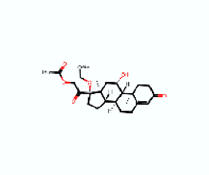 COCO[C@]1(C(=O)COC(=O)C(C)(C)C)CC[C@H]2[C@@H]3CCC4=CC(=O)CC[C@]4(C)[C@H]3[C@@H](O)C[C@@]21C